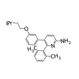 Cc1cccc(C)c1-c1nc(N)ccc1-c1cccc(OCCC(C)C)c1